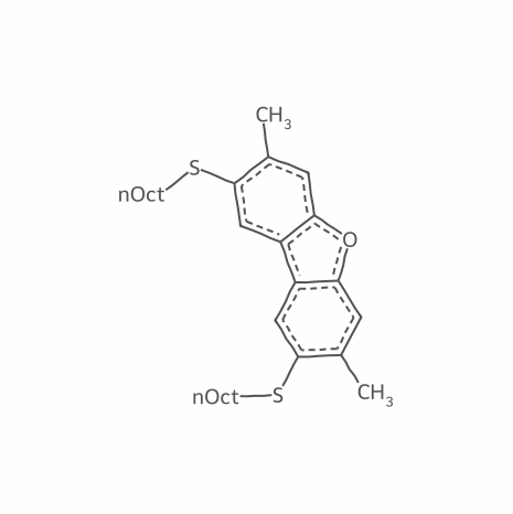 CCCCCCCCSc1cc2c(cc1C)oc1cc(C)c(SCCCCCCCC)cc12